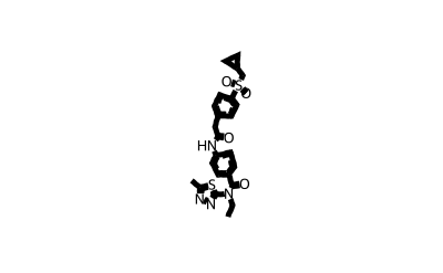 CCN(C(=O)c1ccc(NC(=O)Cc2ccc(S(=O)(=O)CC3CC3)cc2)cc1)c1nnc(C)s1